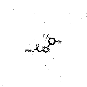 COC(=O)Cc1csc(-c2cc(Br)cc(C(F)(F)F)c2)n1